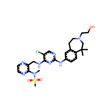 CN(c1nccnc1CNc1nc(Nc2ccc3c(c2)CCN(CCO)CC3(C)C)ncc1Cl)S(C)(=O)=O